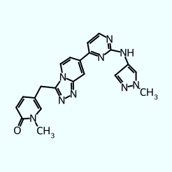 Cn1cc(Nc2nccc(-c3ccn4c(Cc5ccc(=O)n(C)c5)nnc4c3)n2)cn1